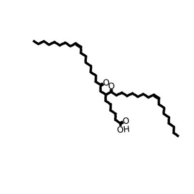 CCCCCCCC/C=C\CCCCCCCC(=O)CC(CCCCCC(=O)O)C(=O)CCCCCCC/C=C\CCCCCCCC